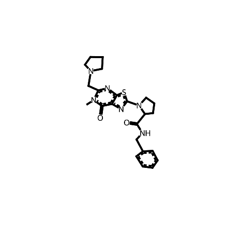 Cn1c(CN2CCCC2)nc2sc(N3CCCC3C(=O)NCc3ccccc3)nc2c1=O